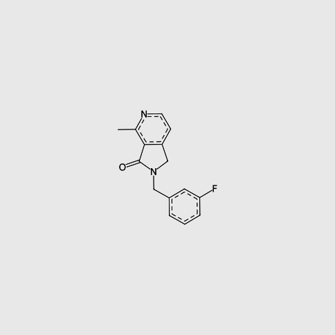 Cc1nccc2c1C(=O)N(Cc1cccc(F)c1)C2